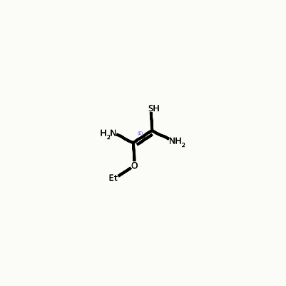 CCO/C(N)=C(\N)S